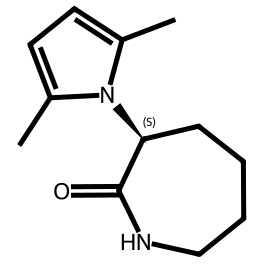 Cc1ccc(C)n1[C@H]1CCCCNC1=O